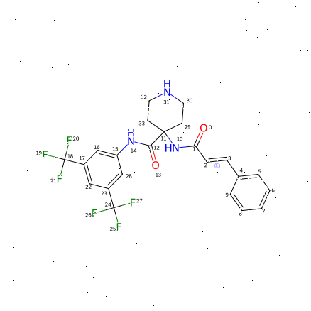 O=C(/C=C/c1ccccc1)NC1(C(=O)Nc2cc(C(F)(F)F)cc(C(F)(F)F)c2)CCNCC1